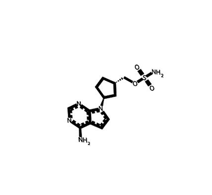 Nc1ncnc2c1ccn2[C@H]1CC[C@H](COS(N)(=O)=O)C1